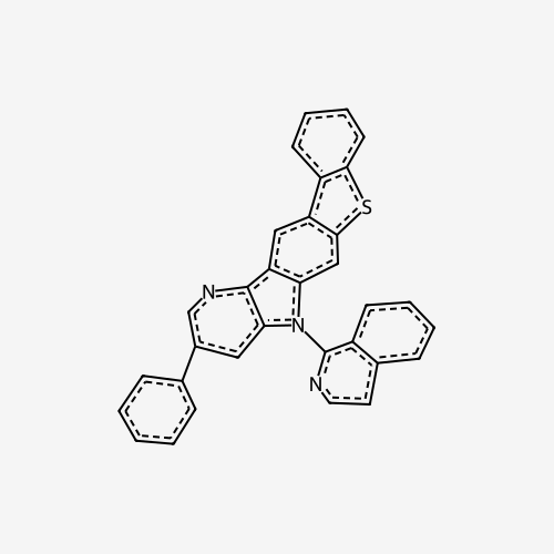 c1ccc(-c2cnc3c4cc5c(cc4n(-c4nccc6ccccc46)c3c2)sc2ccccc25)cc1